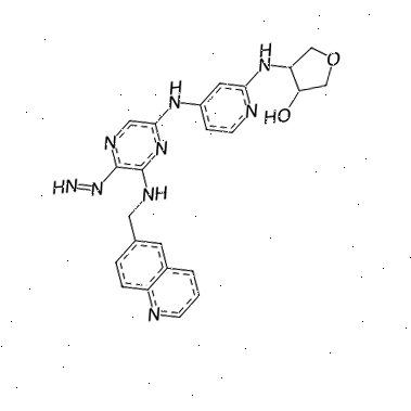 N=Nc1ncc(Nc2ccnc(NC3COCC3O)c2)nc1NCc1ccc2ncccc2c1